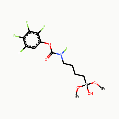 CC(C)O[Si](O)(CCCCN(F)C(=O)Oc1cc(F)c(F)c(F)c1F)OC(C)C